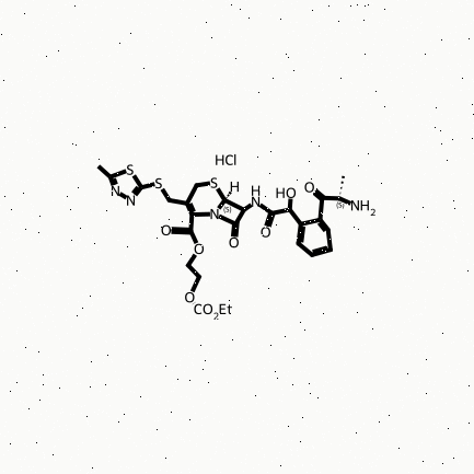 CCOC(=O)OCCOC(=O)C1=C(CSc2nnc(C)s2)CS[C@H]2C(NC(=O)C(O)c3ccccc3C(=O)[C@H](C)N)C(=O)N12.Cl